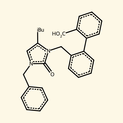 CCC(C)c1cn(Cc2ccccc2)c(=O)n1Cc1ccccc1-c1ccccc1C(=O)O